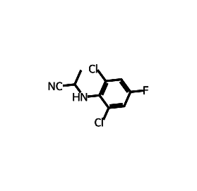 CC(C#N)Nc1c(Cl)cc(F)cc1Cl